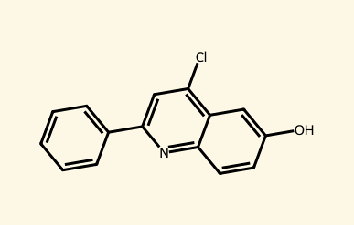 Oc1ccc2nc(-c3ccccc3)cc(Cl)c2c1